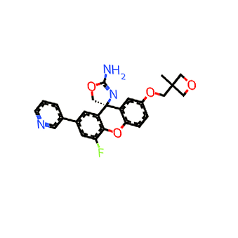 CC1(COc2ccc3c(c2)[C@@]2(COC(N)=N2)c2cc(-c4cccnc4)cc(F)c2O3)COC1